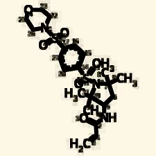 C=CC(=O)NC1CC(C)(C)N(S(=O)(=O)c2ccc(S(=O)(=O)N3CCOCC3)cc2)C1(C)C